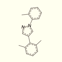 Cc1ccccc1-n1cc(-c2c(C)cccc2C)cn1